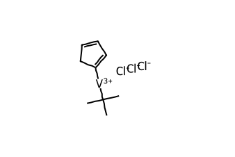 C[C](C)(C)[V+3][C]1=CC=CC1.[Cl-].[Cl-].[Cl-]